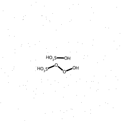 O=S(=O)(O)O.O=S(=O)(O)OOO